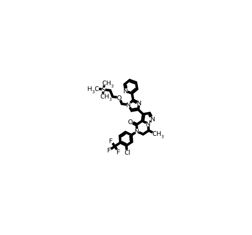 CC1CN(c2ccc(C(F)(F)F)c(Cl)c2)C(=O)c2c(-c3cn(COCCS(C)(C)C)c(-c4ccccn4)n3)cnn21